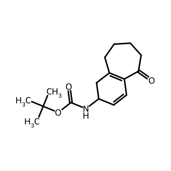 CC(C)(C)OC(=O)NC1C=CC2=C(CCCCC2=O)C1